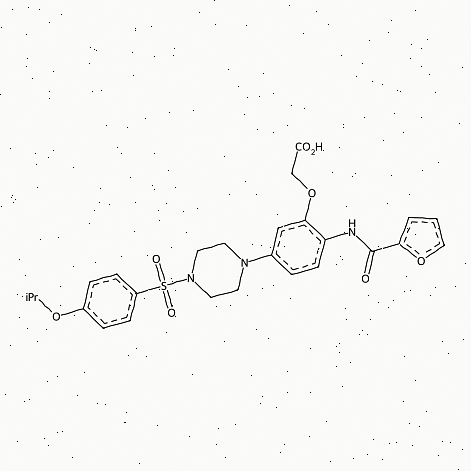 CC(C)Oc1ccc(S(=O)(=O)N2CCN(c3ccc(NC(=O)c4ccco4)c(OCC(=O)O)c3)CC2)cc1